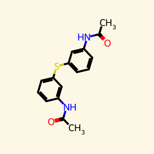 CC(=O)Nc1cccc(Sc2cccc(NC(C)=O)c2)c1